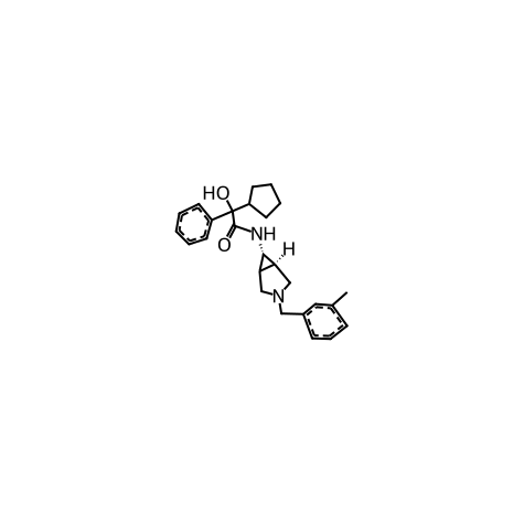 Cc1cccc(CN2CC3[C@H](C2)[C@H]3NC(=O)C(O)(c2ccccc2)C2CCCC2)c1